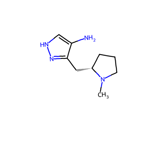 CN1CCC[C@H]1Cc1n[nH]cc1N